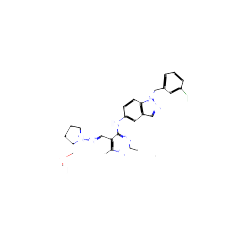 CC/N=C(/Nc1ccc2c(cnn2Cc2cccc(F)c2)c1)C(/C=N/N1CCC[C@H]1COC)=C(C)N